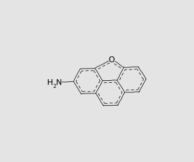 Nc1cc2ccc3cccc4oc(c1)c2c34